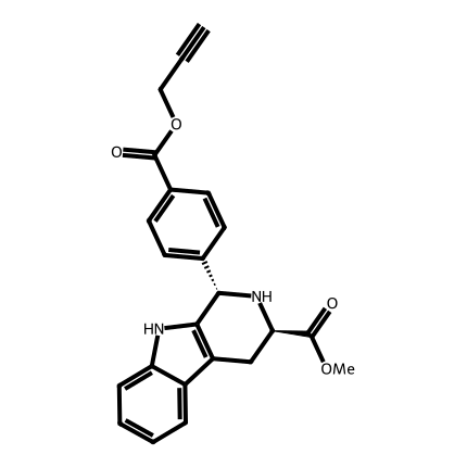 C#CCOC(=O)c1ccc([C@@H]2N[C@@H](C(=O)OC)Cc3c2[nH]c2ccccc32)cc1